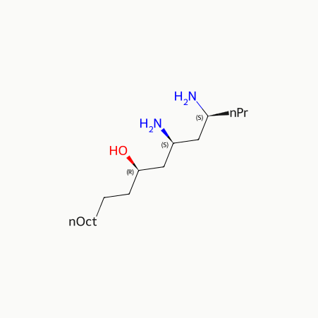 CCCCCCCCCC[C@@H](O)C[C@@H](N)C[C@@H](N)CCC